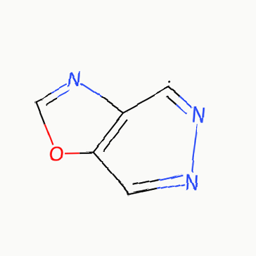 [c]1nncc2ocnc12